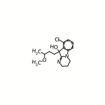 COC(C)CCC1(O)C2=NCCCN2c2cccc(Cl)c21